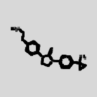 NC1(c2ccc(N3CCN(c4ccc(CCC(=O)O)cc4)C3=O)cc2)CC1